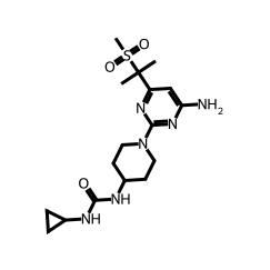 CC(C)(c1cc(N)nc(N2CCC(NC(=O)NC3CC3)CC2)n1)S(C)(=O)=O